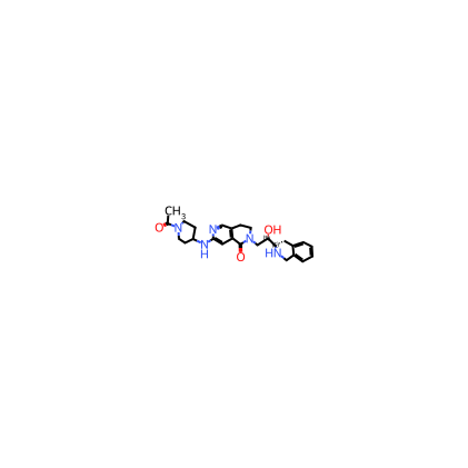 CC(=O)N1CCC(Nc2cc3c(cn2)CCN(C[C@H](O)[C@@H]2Cc4ccccc4CN2)C3=O)CC1